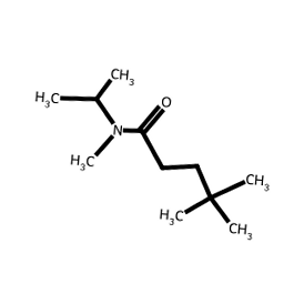 CC(C)N(C)C(=O)CCC(C)(C)C